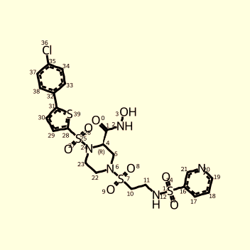 O=C(NO)[C@H]1CN(S(=O)(=O)CCNS(=O)(=O)c2cccnc2)CCN1S(=O)(=O)c1ccc(-c2ccc(Cl)cc2)s1